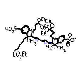 CCOC(=O)CCCCCC1(C)C(/C=C/C=C/C=C2\N(CCC(OCC)OCC)c3ccc(S(=O)(=O)[O-])cc3C2(C)C)=[N+](CCC(OCC)OCC)c2ccc(S(=O)(=O)O)cc21